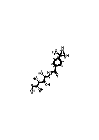 O=C(NC[C@@H](O)[C@@H](O)[C@H](O)[C@H](O)CO)c1ccc(C2(C(F)(F)F)NN2)cc1